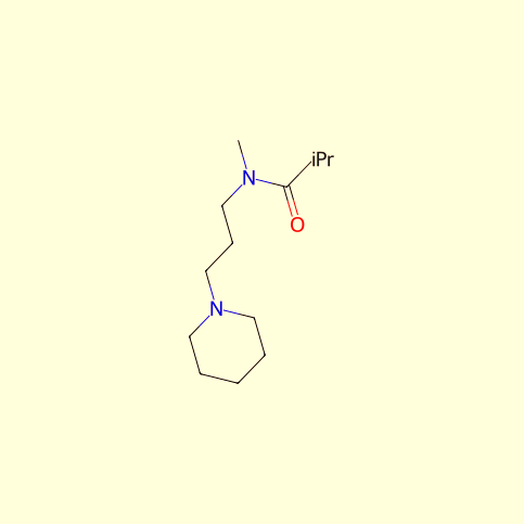 CC(C)C(=O)N(C)CCCN1CCCCC1